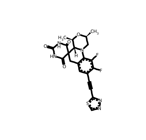 C[C@H]1CN2c3c(cc(C#Cc4nncs4)c(F)c3F)CC3(C(=O)NC(=O)NC3=O)[C@@H]2[C@@H](C)O1